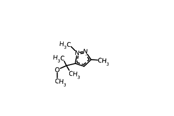 COC(C)(C)c1cc(C)nn1C